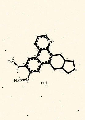 COc1cc2c3c(c4ncccc4c2cc1OC)CC1CCCC1C3.Cl